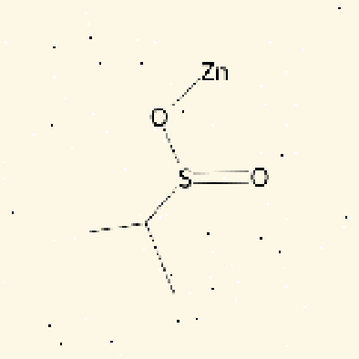 CC(C)S(=O)[O][Zn]